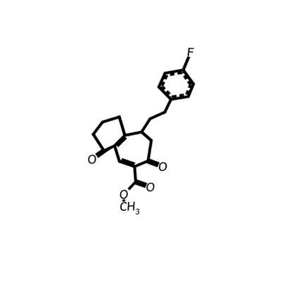 COC(=O)C1=CC2=C(CCCC2=O)C(CCc2ccc(F)cc2)CC1=O